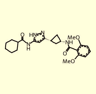 COc1cccc(OC)c1C(=O)N[C@H]1C[C@@H](c2cc(NC(=O)C3CCCCC3)[nH]n2)C1